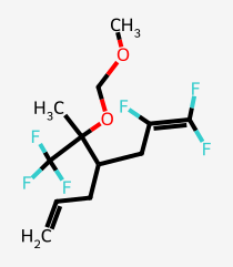 C=CCC(CC(F)=C(F)F)C(C)(OCOC)C(F)(F)F